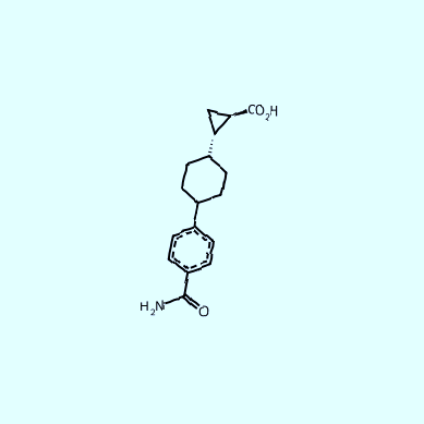 NC(=O)c1ccc(C2CCC([C@@H]3C[C@H]3C(=O)O)CC2)cc1